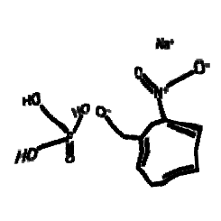 O=P(O)(O)O.O=[N+]([O-])c1ccccc1[O-].[Na+]